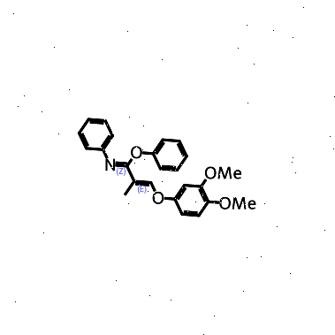 COc1ccc(O/C=C(C)/C(=N/c2ccccc2)Oc2ccccc2)cc1OC